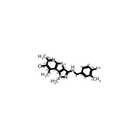 Cc1cc(CNc2nn(C)c3c2sc2nc(C)c(Cl)c(C)c23)ccc1F